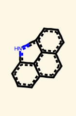 c1cc2ccc3cccc4[nH]c(c1)c2c34